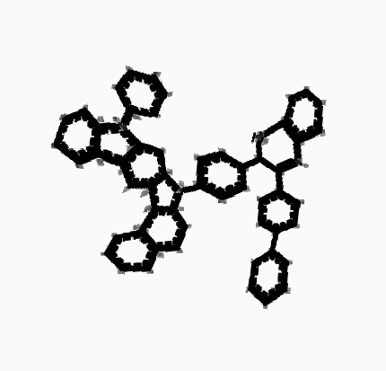 c1ccc(-c2ccc(C3=Nc4ccccc4NC3c3ccc(-n4c5cc6c(cc5c5c7ccccc7ccc54)c4ccccc4n6-c4ccccc4)cc3)cc2)cc1